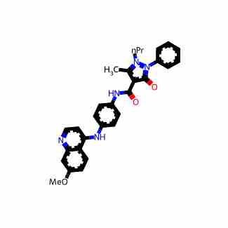 CCCn1c(C)c(C(=O)Nc2ccc(Nc3ccnc4cc(OC)ccc34)cc2)c(=O)n1-c1ccccc1